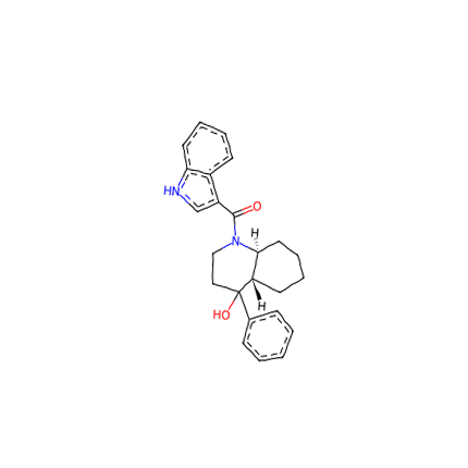 O=C(c1c[nH]c2ccccc12)N1CCC(O)(c2ccccc2)[C@H]2CCCC[C@@H]21